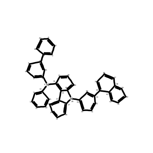 c1ccc(-c2cccc(N(c3ccccc3)c3cccc4c3c3ccccc3n4-c3cccc(-c4cccc5ccccc45)c3)c2)cc1